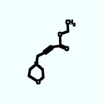 CCOC(=O)C#CCN1CCOCC1